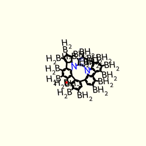 BC(=C)/C(B)=C(B)\C1=C(/B)n2c3c(cc(B)c(B)c3c3c(B)c(B)c(B)c(B)c32)-c2cc(B)c(B)c(B)c2-c2c(B)c(B)c(B)c3c2N1C1C(B)=C(B)C(B)=C31